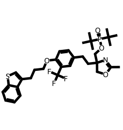 CC1=NC(CCc2ccc(OCCCc3csc4ccccc34)c(C(F)(F)F)c2)(COP(=O)(C(C)(C)C)C(C)(C)C)CO1